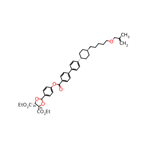 C=C(C)COCCCCC[C@H]1CC[C@H](c2ccc(-c3ccc(C(=O)Oc4ccc(C5O[C@@H](C(=O)OCC)[C@H](C(=O)OCC)O5)cc4)cc3)cc2)CC1